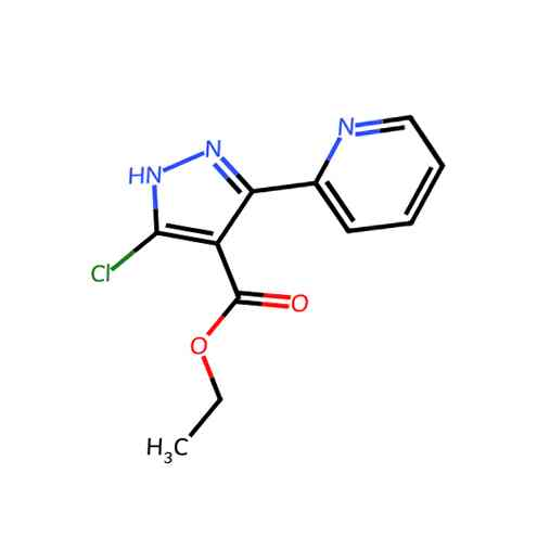 CCOC(=O)c1c(-c2ccccn2)n[nH]c1Cl